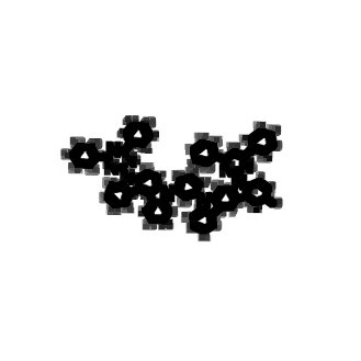 CC1C=Cc2c(c3cc4c5ccccc5n(-c5cccc(-n6c7ccccc7c7c8c9ccccc9n(-c9nc(-c%10ccccc%10)nc(-c%10ccccc%10)n9)c8ccc76)c5)c4cc3n2-c2nc(-c3ccccc3)cc(-c3ccccc3)n2)C1